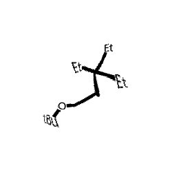 CCC(CC)(CC)COC(C)(C)C